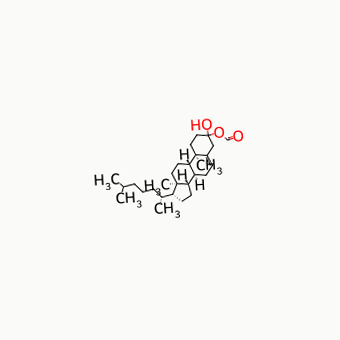 CC(C)CCC[C@@H](C)[C@H]1CC[C@H]2[C@@H]3CC=C4CC(O)(OC=O)CC[C@]4(C)[C@H]3CC[C@]12C